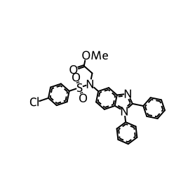 COC(=O)CN(c1ccc2c(c1)nc(-c1ccccc1)n2-c1ccccc1)S(=O)(=O)c1ccc(Cl)cc1